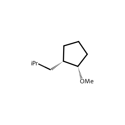 CO[C@H]1CCC[C@H]1CC(C)C